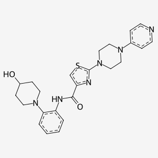 O=C(Nc1ccccc1N1CCC(O)CC1)c1csc(N2CCN(c3ccncc3)CC2)n1